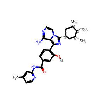 CCOc1cc(C(=O)Nc2cc(C(F)(F)F)ccn2)ccc1-c1nc([C@H]2C[C@@H](C)[C@H](C(=O)O)[C@@H](C)C2)n2ccnc(N)c12